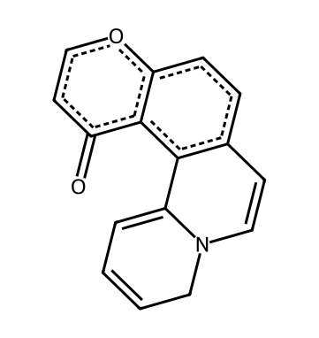 O=c1ccoc2ccc3c(c12)C1=CC=CCN1C=C3